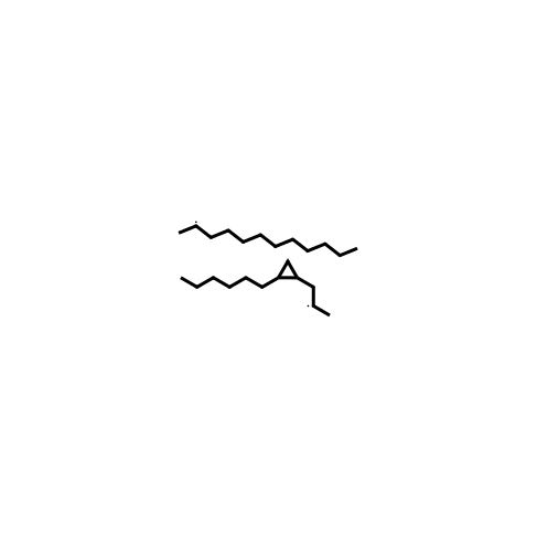 C[CH]CC1CC1CCCCCC.C[CH]CCCCCCCCCC